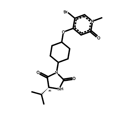 CC(C)[C@H]1NC(=O)N(C2CCC(Oc3cc(=O)n(C)cc3Br)CC2)C1=O